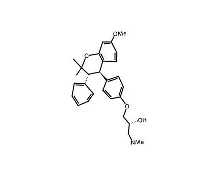 CNC[C@@H](O)COc1ccc([C@@H]2c3ccc(OC)cc3OC(C)(C)[C@H]2c2ccccc2)cc1